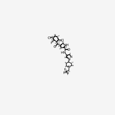 O=C(Nc1cnn(C2CCN(CC(F)(F)F)CC2)c1)c1cc(C(=O)c2c(Cl)ccc(Cl)c2F)c[nH]1